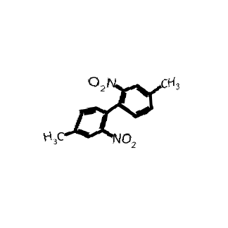 Cc1ccc(-c2ccc(C)cc2[N+](=O)[O-])c([N+](=O)[O-])c1